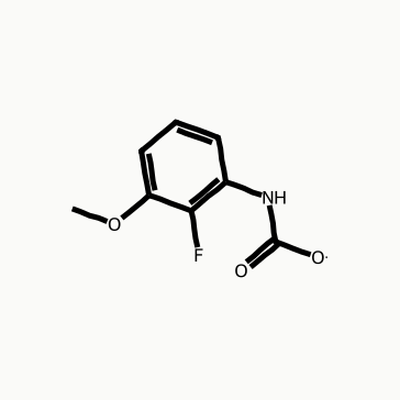 COc1cccc(NC([O])=O)c1F